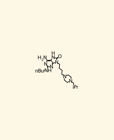 CCCCNc1nc(N)c2[nH]c(=O)n(CCCCN3CCN(CC(C)C)CC3)c2n1